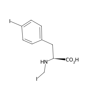 O=C(O)[C@H](Cc1ccc(I)cc1)NCI